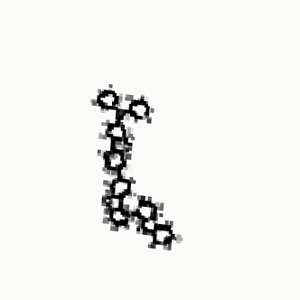 c1ccc(N(c2ccccc2)c2ccc3c(c2)oc2cc(-c4ccc5c(c4)oc4cccc(-c6cccc7c6oc6ccccc67)c45)ccc23)cc1